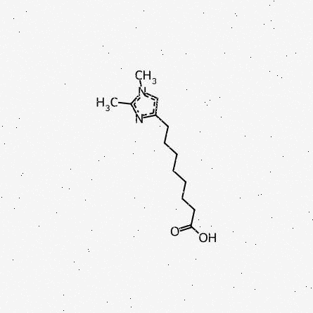 Cc1nc(CCCCCCCC(=O)O)cn1C